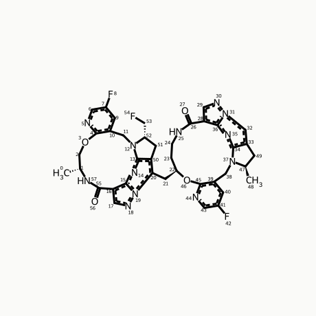 C[C@@H]1COc2ncc(F)cc2CN2c3nc4c(cnn4c(C[C@H]4CCNC(=O)c5cnn6cc7c(nc56)N(Cc5cc(F)cnc5O4)[C@H](C)C7)c3C[C@H]2CF)C(=O)N1